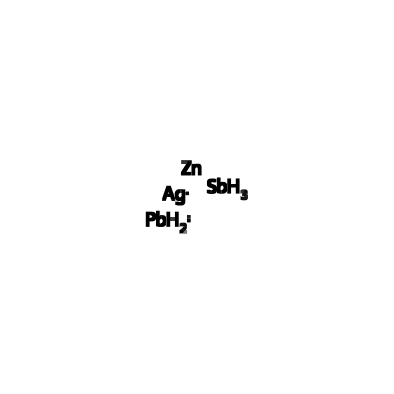 [Ag].[PbH2].[SbH3].[Zn]